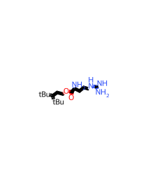 CC(C)(C)C(CCOC(=O)C(N)CCCNC(=N)N)C(C)(C)C